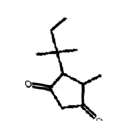 CCC(C)(C)C1C(=O)CC(=O)C1C